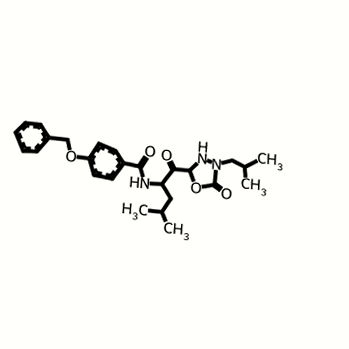 CC(C)CC(NC(=O)c1ccc(OCc2ccccc2)cc1)C(=O)C1NN(CC(C)C)C(=O)O1